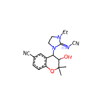 CCN1CCN(C2c3cc(C#N)ccc3OC(C)(C)C2O)/C1=N/C#N